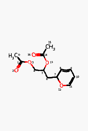 CC(=O)OCC(CC1C=CC=CO1)OC(C)=O